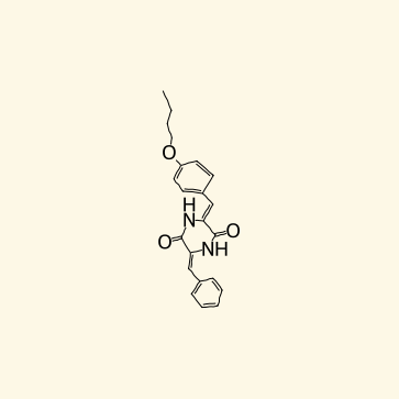 CCCCOc1ccc(C=c2[nH]c(=O)c(=Cc3ccccc3)[nH]c2=O)cc1